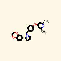 Cc1cc(Oc2ccc(CN3CCC[C@H]3c3ccc4c(c3)OCCO4)cc2)cc(C)n1